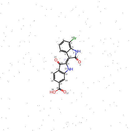 O=C1Nc2c(Br)cccc2/C1=C1/Nc2cc(C(=O)O)ccc2C1=O